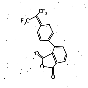 O=C1OC(=O)c2c1cccc2C1=CCC(=C(C(F)(F)F)C(F)(F)F)C=C1